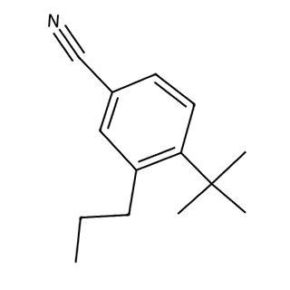 CCCc1cc(C#N)ccc1C(C)(C)C